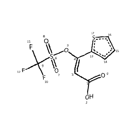 O=C(O)/C=C(/OS(=O)(=O)C(F)(F)F)c1cccs1